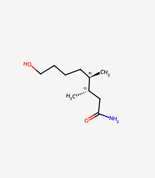 C[C@H](CCCCO)[C@@H](C)CC(N)=O